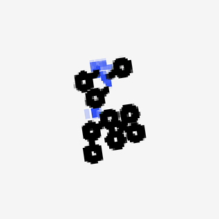 NC(c1ccccc1)N1C(c2ccccc2)[N@@]1Cc1cccc(Nc2ccc3c(c2-c2cccc(-c4ccccc4)c2)-c2ccccc2C3(c2ccccc2)c2ccccc2)c1